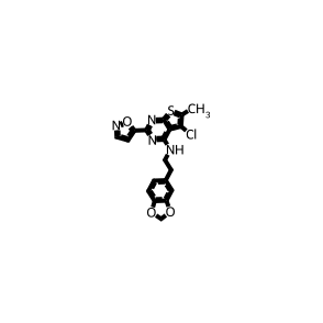 Cc1sc2nc(-c3ccno3)nc(NCCc3ccc4c(c3)OCO4)c2c1Cl